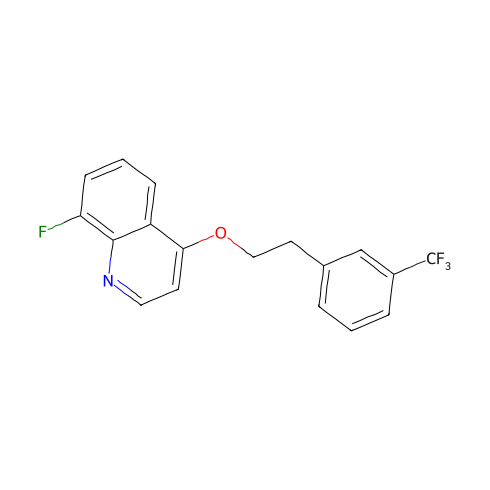 Fc1cccc2c(OCCc3cccc(C(F)(F)F)c3)ccnc12